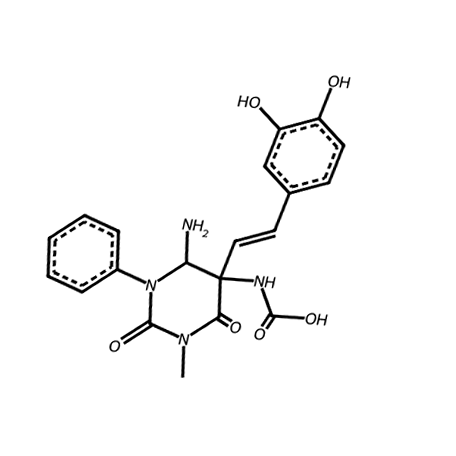 CN1C(=O)N(c2ccccc2)C(N)C(C=Cc2ccc(O)c(O)c2)(NC(=O)O)C1=O